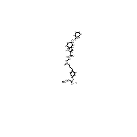 CN(CCCc1ccc(CN(C=O)OC(C)(C)C)cc1)CCNC(=O)c1cc2cc(OCc3ccccc3)ccc2[nH]1